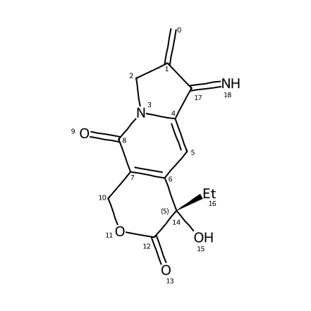 C=C1Cn2c(cc3c(c2=O)COC(=O)[C@]3(O)CC)C1=N